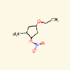 CCOC1CC(C)C(O[N+](=O)[O-])C1